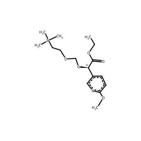 CCOC(=O)[C@H](OCOCC[Si](C)(C)C)c1ccc(OC)nc1